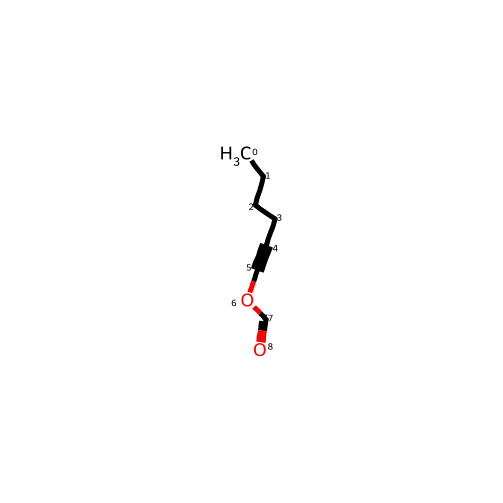 CCCCC#CO[C]=O